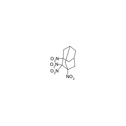 O=[N+]([O-])C12CC3CC(C1)CC([N+](=O)[O-])(C3)C2([N+](=O)[O-])[N+](=O)[O-]